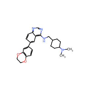 CN(C)C1CCC(CNc2ncnc3ccc(-c4ccc5c(c4)OCCO5)cc23)CC1